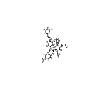 COc1ccc(CNc2c(C#N)cc(N)c(N)c2-c2c(C)ccc(OCc3ccccc3)c2C)cc1